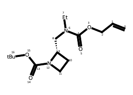 C=CCOC(=O)N(CC)C[C@@H]1CCN1C(=O)OC(C)(C)C